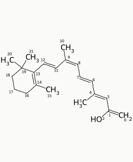 C=C(O)/C=C(C)/C=C/C=C(C)\C=C\C1=C(C)CCCC1(C)C